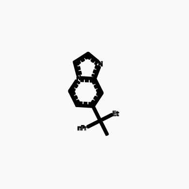 CCCC(C)(CC)c1ccn2ccnc2c1